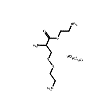 Cl.Cl.Cl.NCCSSCC(N)C(=O)SCCN